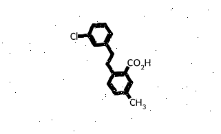 Cc1ccc(CCc2cccc(Cl)c2)c(C(=O)O)c1